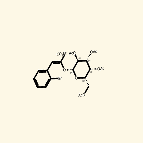 CCOC(=O)C(=Cc1ccccc1Br)O[C@H]1O[C@@H](COC(C)=O)[C@@H](OC(C)=O)[C@@H](OC(C)=O)[C@@H]1OC(C)=O